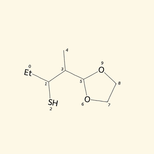 CCC(S)C(C)C1OCCO1